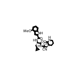 COc1cccc2[nH]c(C(=O)N[C@@H](CC3CC3)C(=O)NC(C)(C#N)C[C@@H]3CCCNC3=O)cc12